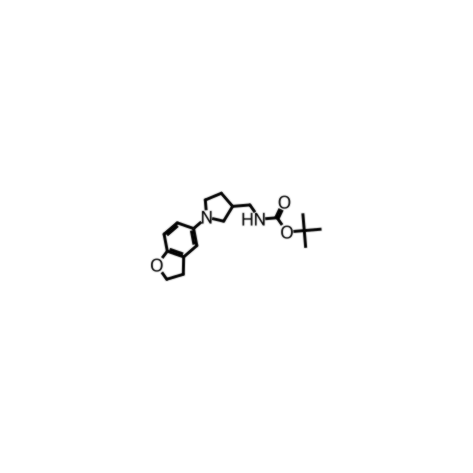 CC(C)(C)OC(=O)NCC1CCN(c2ccc3c(c2)CCO3)C1